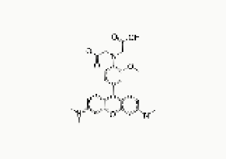 COc1cc(-c2c3ccc(=[N+](C)C)cc-3oc3cc(N(C)C)ccc23)ccc1N(CC(=O)[O-])CC(=O)O